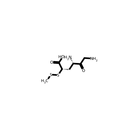 CSS[C@@H](C[C@H](N)C(=O)CN)C(=O)O